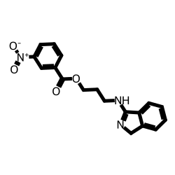 O=C(OCCCNC1=NCc2ccccc21)c1cccc([N+](=O)[O-])c1